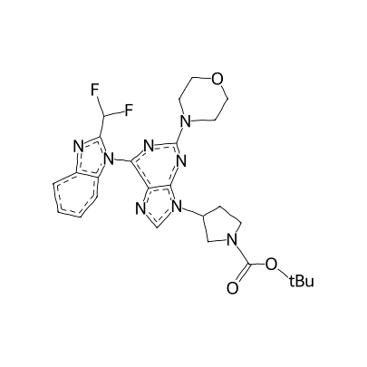 CC(C)(C)OC(=O)N1CCC(n2cnc3c(-n4c(C(F)F)nc5ccccc54)nc(N4CCOCC4)nc32)C1